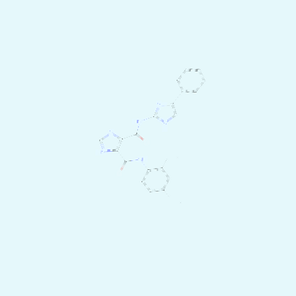 Cc1ccc(NC(=O)c2[nH]cnc2C(=O)Nc2nc(-c3ccccc3)c[nH]2)c(C)c1